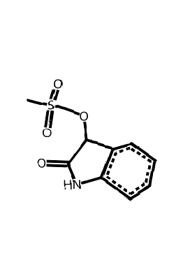 CS(=O)(=O)OC1C(=O)Nc2ccccc21